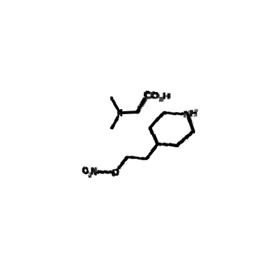 CN(C)CC(=O)O.O=[N+]([O-])OCCC1CCNCC1